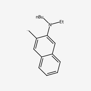 [CH2]c1cc2ccccc2cc1N(CC)CCCC